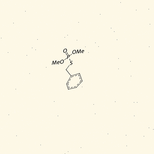 COP(=O)(OC)SCc1ccccc1